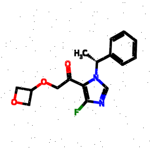 C[C@H](c1ccccc1)n1cnc(F)c1C(=O)COC1COC1